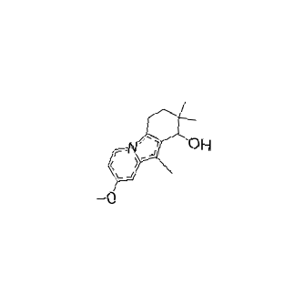 COc1ccn2c3c(c(C)c2c1)C(O)C(C)(C)CC3